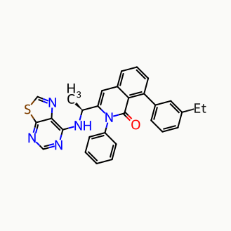 CCc1cccc(-c2cccc3cc([C@H](C)Nc4ncnc5scnc45)n(-c4ccccc4)c(=O)c23)c1